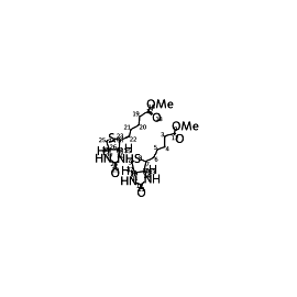 COC(=O)CCCCC1SC[C@@H]2NC(=O)N[C@H]12.COC(=O)CCCC[C@@H]1SC[C@@H]2NC(=O)N[C@@H]21